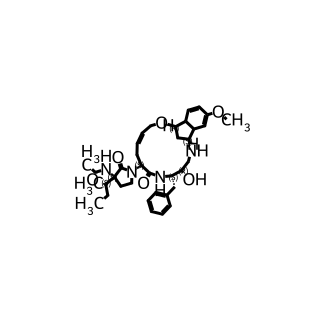 CC[C@H](C)[C@@]1(NC(C)=O)CCN([C@H]2CC=CCO[C@@H]3C[C@H](NC[C@@H](O)[C@H](Cc4ccccc4)NC2=O)C2C=C(OC)C=CC23)C1=O